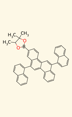 CC1OB(c2ccc3c(c2)c(-c2cccc4ccccc24)cc2c4ccccc4c(-c4cccc5ccccc45)cc32)OC1(C)C